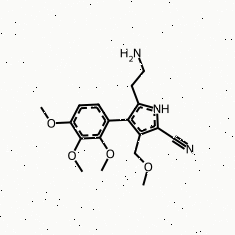 COCc1c(C#N)[nH]c(CCN)c1-c1ccc(OC)c(OC)c1OC